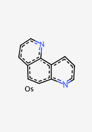 [Os].c1cnc2c(c1)ccc1ncccc12